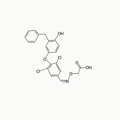 O=C(O)CO/N=C\c1cc(Cl)c(Oc2ccc(O)c(Cc3ccccc3)c2)c(Cl)c1